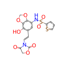 O=C1COC(=O)N1C=Cc1cc(NS(=O)(=O)c2cccs2)c2c(c1O)OCO2